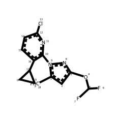 Cc1cc(OC(F)F)nn1-c1nc(Cl)ccc1C1CC1